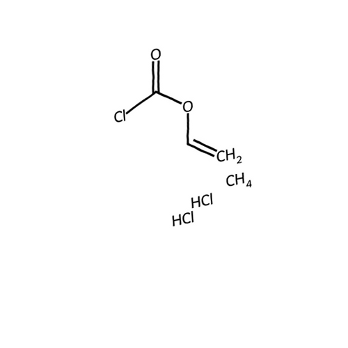 C.C=COC(=O)Cl.Cl.Cl